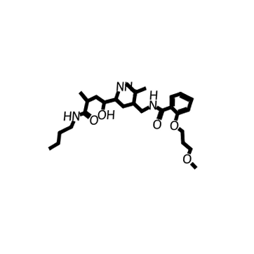 CCCCNC(=O)C(C)CC(O)C(N)CC(CNC(=O)c1ccccc1OCCCOC)C(C)C